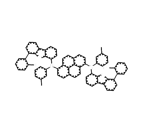 Cc1cccc(N(c2ccc3ccc4c(N(c5cccc(C)c5)c5cccc6c5oc5c(-c7ccccc7C(C)C)cccc56)ccc5ccc2c3c54)c2cccc3c2oc2c(-c4ccccc4C(C)C)cccc23)c1